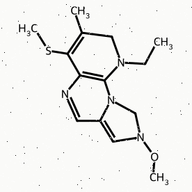 CCN1CC(C)=C(SC)C2=C1N1CN(OC)C=C1C=N2